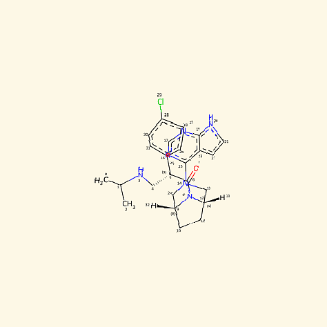 CC(C)NC[C@@H](C(=O)N1[C@@H]2CC[C@H]1CN(c1ncnc3[nH]ccc13)C2)c1ccc(Cl)cc1